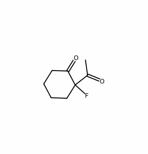 CC(=O)C1(F)CCCCC1=O